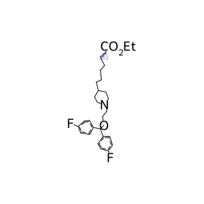 CCOC(=O)/C=C/CCCCC1CCN(CCOC(c2ccc(F)cc2)c2ccc(F)cc2)CC1